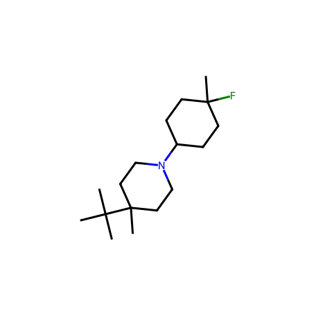 CC1(F)CCC(N2CCC(C)(C(C)(C)C)CC2)CC1